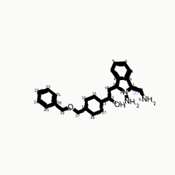 N/C=C1/c2ccccc2C(CC(O)C2CCC(COCc3ccccc3)CC2)N1N